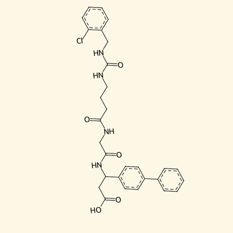 O=C(O)CC(NC(=O)CNC(=O)CCCNC(=O)NCc1ccccc1Cl)c1ccc(-c2ccccc2)cc1